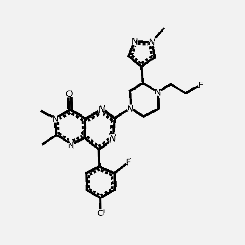 Cc1nc2c(-c3ccc(Cl)cc3F)nc(N3CCN(CCF)C(c4cnn(C)c4)C3)nc2c(=O)n1C